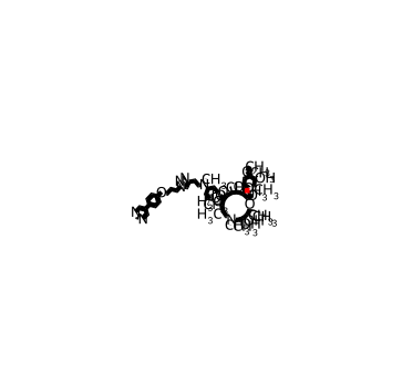 CC[C@H]1OC(=O)[C@H](C)[C@@H](O[C@H]2C[C@@](C)(OC)[C@@H](O)[C@H](C)O2)[C@H](C)[C@@H](O[C@H]2C[C@@H](N(C)CCc3cn(CCCOc4ccc(-c5cncnc5)cc4)nn3)C[C@@H](C)O2)[C@](C)(O)C[C@@H](C)CN(C)[C@H](C)[C@@H](O)[C@]1(C)O